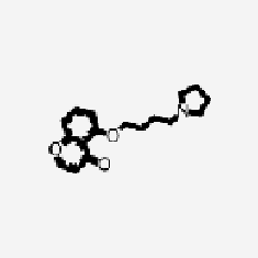 O=c1ccoc2cccc(OCCCCN3CCCC3)c12